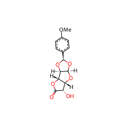 COc1ccc([C@H]2O[C@H]3O[C@H]4[C@H](OC(=O)[C@H]4O)[C@H]3O2)cc1